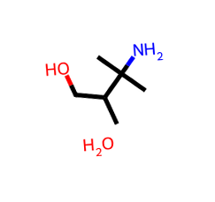 CC(CO)C(C)(C)N.O